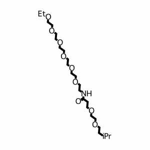 CCOCCOCCOCCOCCOCCOCCNC(=O)CCOCCOCCC(C)C